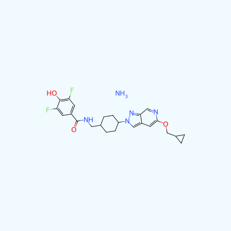 N.O=C(NCC1CCC(n2cc3cc(OCC4CC4)ncc3n2)CC1)c1cc(F)c(O)c(F)c1